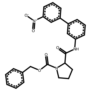 O=C(Nc1cccc(-c2cccc([N+](=O)[O-])c2)c1)C1CCCN1C(=O)OCc1ccccc1